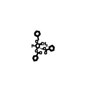 C=C1[C@@H](OCc2ccccc2)[C@H](F)[C@H](OC(=O)c2ccccc2)[C@H]1COC(=O)c1ccccc1